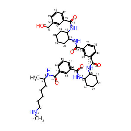 CNCCCCCC(C)NC(=O)c1cccc(C(=O)NC2CCCCC2NC(=O)c2cccc(C(=O)NC3CCCCC3NC(=O)c3cccc(CO)c3)c2)c1